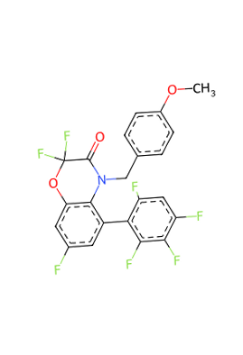 COc1ccc(CN2C(=O)C(F)(F)Oc3cc(F)cc(-c4c(F)cc(F)c(F)c4F)c32)cc1